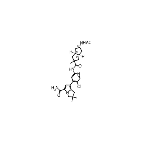 CC(=O)N[C@H]1C[C@@H]2C[C@@](C)(C(=O)Nc3cc(-c4cc(C(N)=O)n5c4CC(C)(C)C5)c(Cl)cn3)C[C@@H]2C1